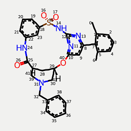 Cc1cccc(C)c1-c1cc2nc(n1)NS(=O)(=O)c1cccc(c1)NC(=O)[C@@H]1C[C@@H](CN(Cc3ccccc3)C1)O2